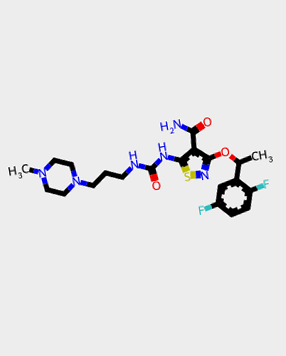 CC(Oc1nsc(NC(=O)NCCCN2CCN(C)CC2)c1C(N)=O)c1cc(F)ccc1F